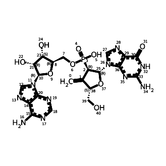 C=C1[C@@H](P(=O)(O)OC[C@H]2O[C@@H](n3cnc4c(N)ncnc43)[C@H](O)[C@@H]2O)[C@H](n2cnc3c(=O)[nH]c(N)nc32)O[C@@H]1CO